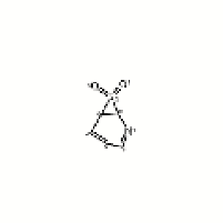 O=S1(=O)C2C=CC=NC21